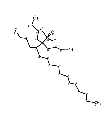 CCCCCCCCCCCCC(CCCC)C(CCCC)(CCCC)P(=O)(Cl)Cl